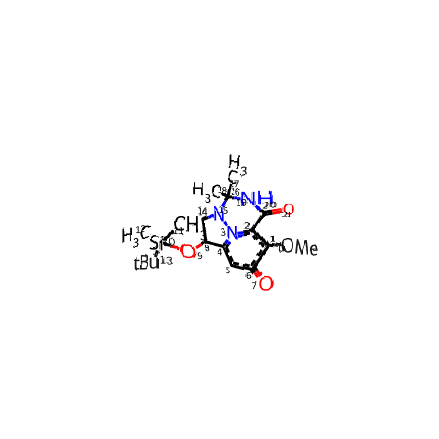 COc1c2n3c(cc1=O)C(O[Si](C)(C)C(C)(C)C)CN3C(C)(C)NC2=O